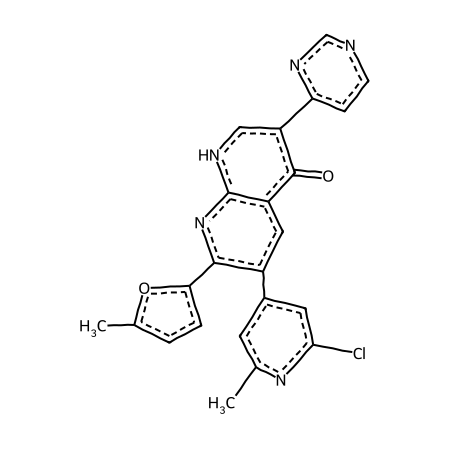 Cc1cc(-c2cc3c(=O)c(-c4ccncn4)c[nH]c3nc2-c2ccc(C)o2)cc(Cl)n1